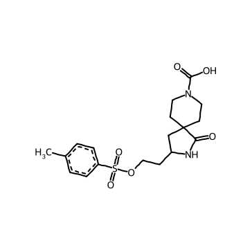 Cc1ccc(S(=O)(=O)OCCC2CC3(CCN(C(=O)O)CC3)C(=O)N2)cc1